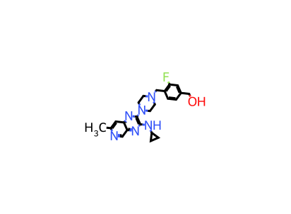 Cc1cc2nc(N3CCN(Cc4ccc(CO)cc4F)CC3)c(NC3CC3)nc2cn1